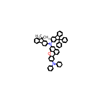 CC1(C)C2=CC(N(c3ccc4c(c3)C(c3ccccc3)(c3ccccc3)c3ccccc3-4)c3cc4c5c(cccc5c3)-c3cc(N(C5=CCCC=C5)c5ccccc5)ccc3O4)=CCC2c2ccccc21